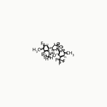 [2H]C([2H])([2H])N(C(=O)[C@@H]1CCS(=O)(=O)N1c1cc(C(F)(F)F)cc(C)n1)c1ccc(F)c(C)c1F